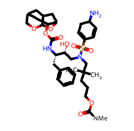 CNC(=O)OCCCC(C)(C)CN(C[C@@H](O)[C@H](Cc1ccccc1)NC(=O)OC1C2COC3OC1CC3C2)S(=O)(=O)C1=CCC(N)C=C1